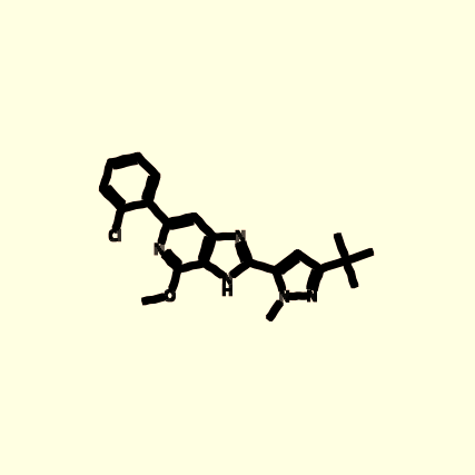 COc1nc(-c2ccccc2Cl)cc2nc(-c3cc(C(C)(C)C)nn3C)[nH]c12